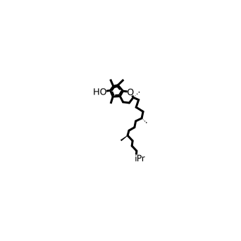 Cc1c(C)c2c(c(C)c1O)CC[C@](C)(CCC[C@H](C)CCC[C@H](C)CCCC(C)C)O2